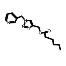 CCCCCC(=O)OCc1cn(Cc2cccnc2)nn1